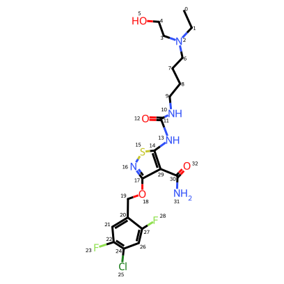 CCN(CCO)CCCCNC(=O)Nc1snc(OCc2cc(F)c(Cl)cc2F)c1C(N)=O